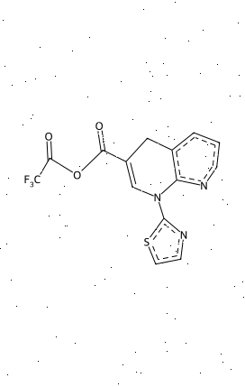 O=C(OC(=O)C(F)(F)F)C1=CN(c2nccs2)c2ncccc2C1